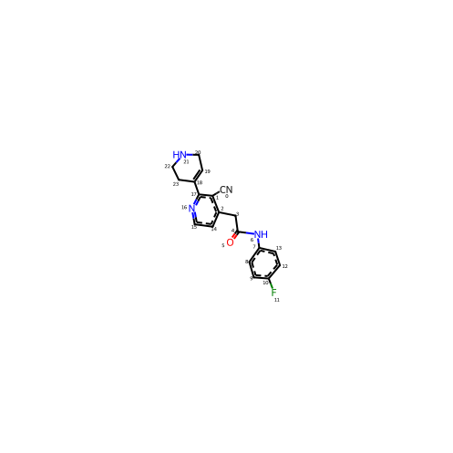 N#Cc1c(CC(=O)Nc2ccc(F)cc2)ccnc1C1=CCNCC1